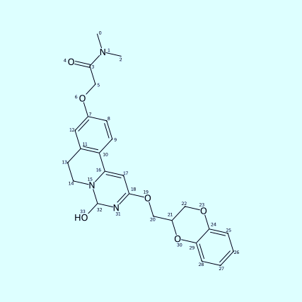 CN(C)C(=O)COc1ccc2c(c1)CCN1C2=CC(OCC2COc3ccccc3O2)=NC1O